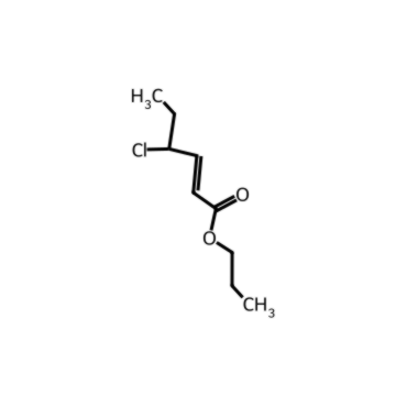 CCCOC(=O)C=CC(Cl)CC